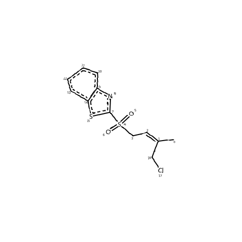 CC(=CCS(=O)(=O)c1nc2ccccc2s1)CCl